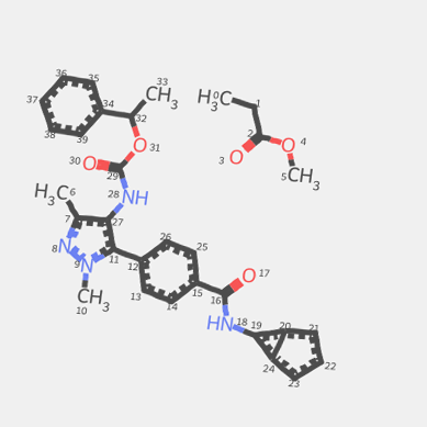 CCC(=O)OC.Cc1nn(C)c(-c2ccc(C(=O)Nc3c4cccc3-4)cc2)c1NC(=O)OC(C)c1ccccc1